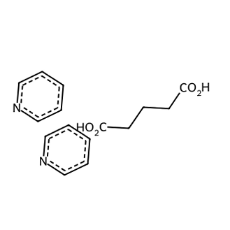 O=C(O)CCCC(=O)O.c1ccncc1.c1ccncc1